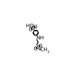 C=CS(=O)(=O)CCCNc1ccc(S(=O)(=O)O)cc1